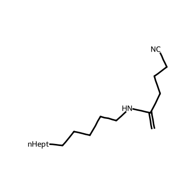 C=C(CCCC#N)NCCCCCCCCCCCC